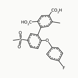 Cc1cc(-c2cc(S(C)(=O)=O)ccc2Oc2ccc(F)cc2)c(C(=O)O)cc1C(=O)O